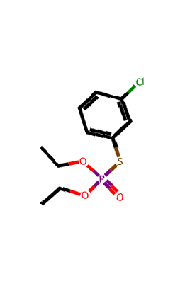 CCOP(=O)(OCC)Sc1cccc(Cl)c1